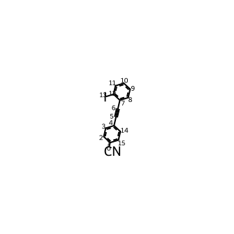 N#Cc1ccc(C#Cc2ccccc2I)cc1